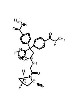 CNC(=O)c1ccc(C(C[C@H](C)NCC(=O)N2[C@H](C#N)C[C@@H]3C[C@@H]32)(c2ccc(C(=O)NC)cc2)c2nn[nH]n2)cc1